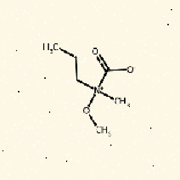 CCC[N+](C)(OC)C(=O)[O-]